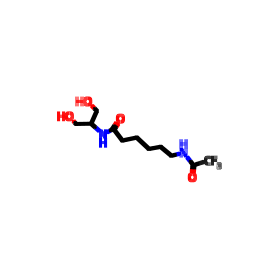 O=C(CCCCCNC(=O)C(F)(F)F)NC(CO)CO